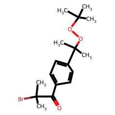 CC(C)(C)OOC(C)(C)c1ccc(C(=O)C(C)(C)Br)cc1